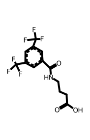 O=C(O)CCCNC(=O)c1cc(C(F)(F)F)cc(C(F)(F)F)c1